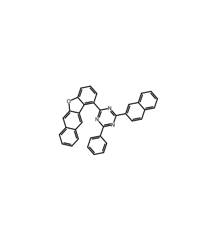 c1ccc(-c2nc(-c3ccc4ccccc4c3)nc(-c3cccc4oc5cc6ccccc6cc5c34)n2)cc1